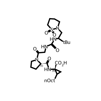 CCCCCCCCC1C[C@]1(NC(=O)[C@@H]1CCCN1C(=O)CNC(=O)NC(CN1CCCCS1(=O)=O)C(C)(C)C)C(=O)O